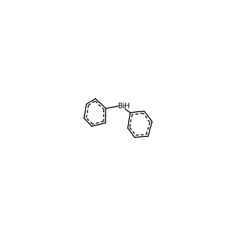 c1cc[c]([BiH][c]2ccccc2)cc1